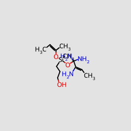 CC=C(C)O[Si](C)(CCCO)OC(N)(N)C(N)=CC